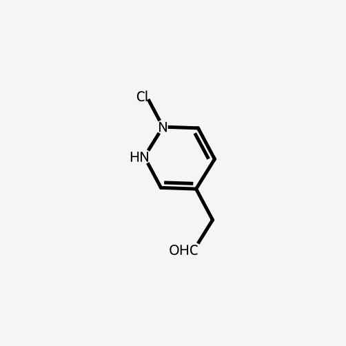 O=CCC1=CNN(Cl)C=C1